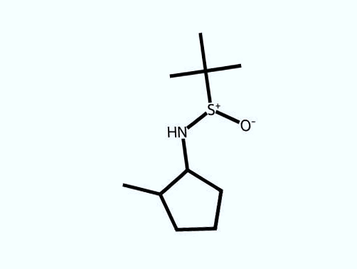 CC1CCCC1N[S+]([O-])C(C)(C)C